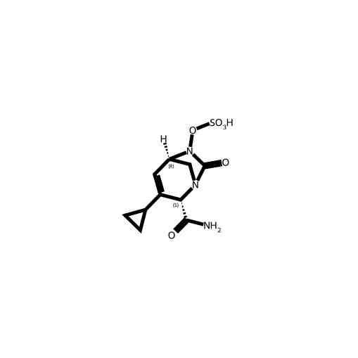 NC(=O)[C@@H]1C(C2CC2)=C[C@@H]2CN1C(=O)N2OS(=O)(=O)O